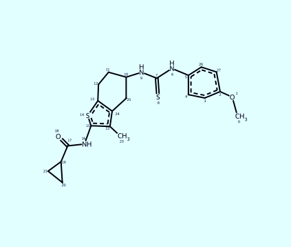 COc1ccc(NC(=S)NC2CCc3sc(NC(=O)C4CC4)c(C)c3C2)cc1